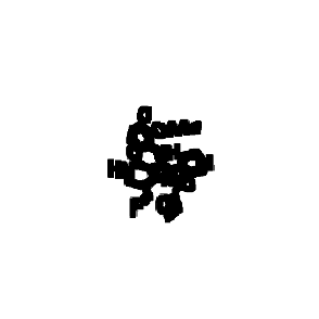 COc1c(Cl)cccc1Nc1c(-c2ccncc2OC[C@H]2CCO2)[nH]c2c1C(=O)NC[C@@H]2CF